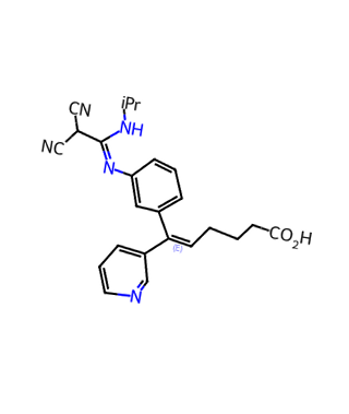 CC(C)NC(=Nc1cccc(/C(=C\CCCC(=O)O)c2cccnc2)c1)C(C#N)C#N